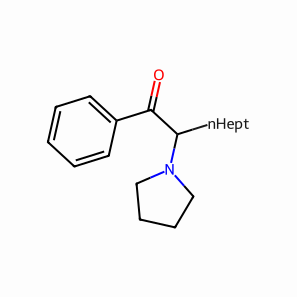 CCCCCCCC(C(=O)c1ccccc1)N1CCCC1